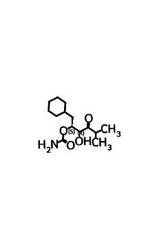 CC(C)C(=O)[C@H](O)[C@H](CC1CCCCC1)OC(N)=O